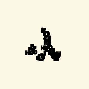 CN(C)S(=O)(=O)Nc1ccc([C@@H](CCN2CCCOCC2)NC(=O)c2nc3cc4c(nc3s2)CC[C@H](C(C)(C)C)C4)cn1.O=C(O)C(F)(F)F